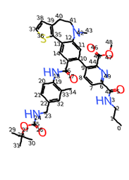 CCCNC(=O)c1ccc(-c2cc3c(cc2C(=O)Nc2ccc(CNC(=O)OC(C)(C)C)cc2C)-c2sccc2CCN3C)c(C(=O)OC)n1